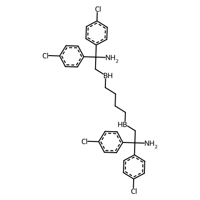 NC(CBCCCCBCC(N)(c1ccc(Cl)cc1)c1ccc(Cl)cc1)(c1ccc(Cl)cc1)c1ccc(Cl)cc1